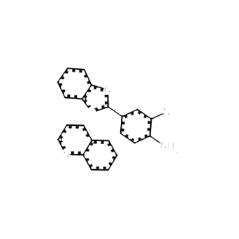 Nc1ccc(-c2nc3ccccc3s2)cc1N.c1ccc2ncccc2c1